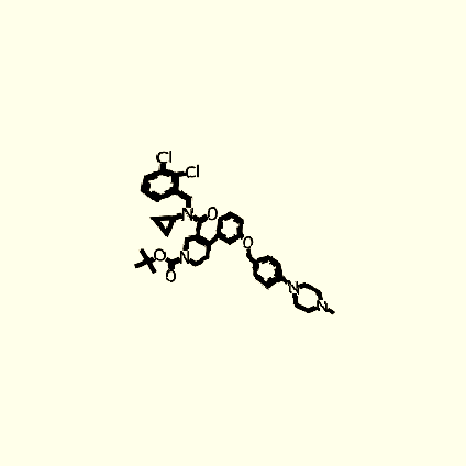 CN1CCN(c2ccc(COc3cccc(C4=C(C(=O)N(Cc5cccc(Cl)c5Cl)C5CC5)CN(C(=O)OC(C)(C)C)CC4)c3)cc2)CC1